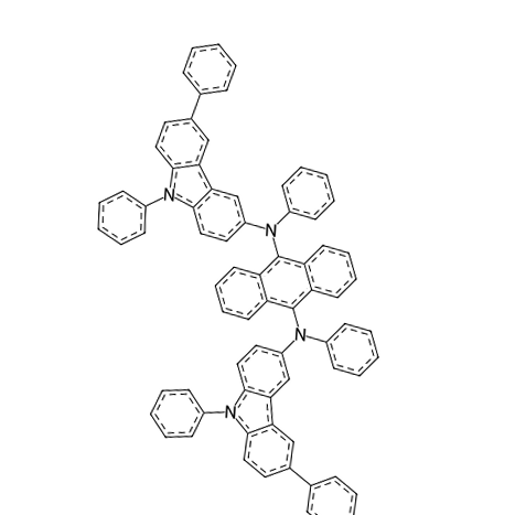 c1ccc(-c2ccc3c(c2)c2cc(N(c4ccccc4)c4c5ccccc5c(N(c5ccccc5)c5ccc6c(c5)c5cc(-c7ccccc7)ccc5n6-c5ccccc5)c5ccccc45)ccc2n3-c2ccccc2)cc1